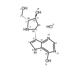 Cl.OC[C@H]1N[C@@H](c2c[nH]c3c(O)ncnc23)C[C@@H]1O